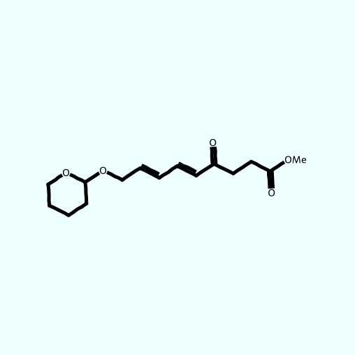 COC(=O)CCC(=O)C=CC=CCOC1CCCCO1